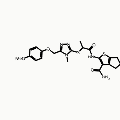 COc1ccc(OCc2nnc(SC(C)C(=O)Nc3sc4c(c3C(N)=O)CCC4)n2C)cc1